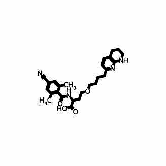 Cc1cc(C#N)cc(C)c1C(=O)NC(CCOCCCCc1ccc2c(n1)NCCC2)C(=O)O